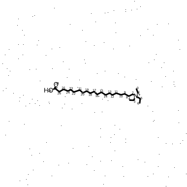 CC[N+](CC)(CC)CCCCCCCCCCCCCCCCCCCCC(=O)O